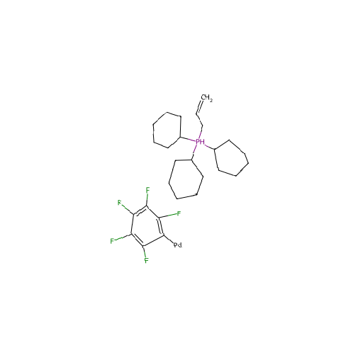 C=CC[PH](C1CCCCC1)(C1CCCCC1)C1CCCCC1.Fc1c(F)c(F)[c]([Pd])c(F)c1F